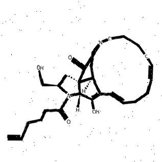 C=CCCCC(=O)N1[C@@H](CO)C[C@@]23C(=O)N4CCCC/C=C\CC/C=C/C(=C(O)[C@H]12)[C@@H]3CC4